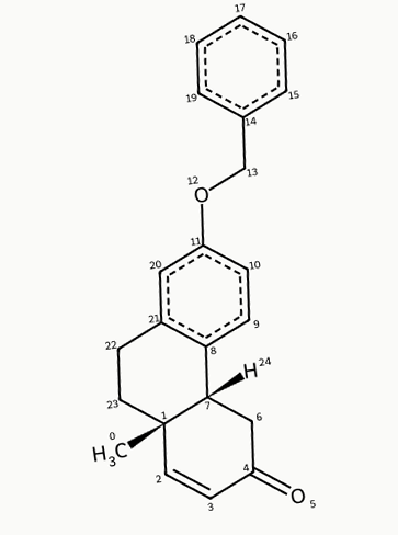 C[C@]12C=CC(=O)C[C@H]1c1ccc(OCc3ccccc3)cc1CC2